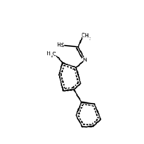 C/C(S)=N/c1cc(-c2ccccc2)ccc1C